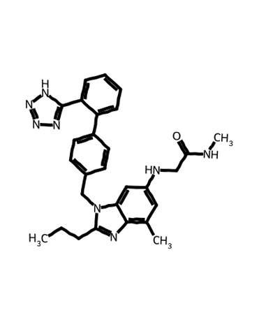 CCCc1nc2c(C)cc(NCC(=O)NC)cc2n1Cc1ccc(-c2ccccc2-c2nnn[nH]2)cc1